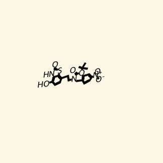 CC(C)(C)OC(=O)N(CCc1ccc(O)c2[nH]c(=O)sc12)Cc1ccc([N+](=O)[O-])cc1